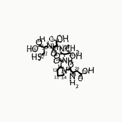 C[C@@H](O)[C@H](NC(=O)[C@@H](NC(=O)[C@@H]1CCCN1C(=O)[C@@H](N)CC(=O)O)[C@@H](C)O)C(=O)N[C@@H](CS)C(=O)O